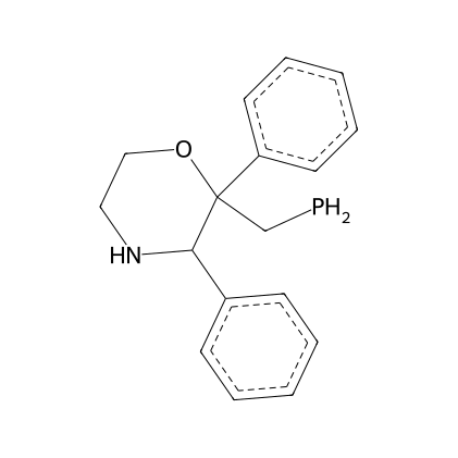 PCC1(c2ccccc2)OCCNC1c1ccccc1